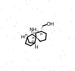 N[C@H]1[C@@H]2CC[C@@H](C2)[C@]12CCC[C@@H](CO)C2